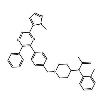 CC(=O)N(c1ccccc1C)C1CCN(Cc2ccc(-c3nc(-c4ccnn4C)nnc3-c3ccccc3)cc2)CC1